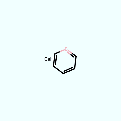 [CaH2].b1ccccc1